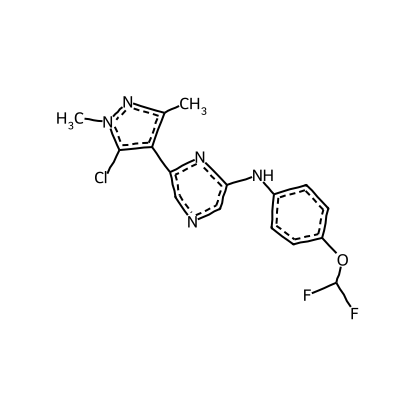 Cc1nn(C)c(Cl)c1-c1cncc(Nc2ccc(OC(F)F)cc2)n1